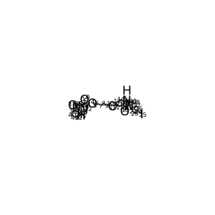 COc1c(OCCCCCCOc2ccc3c(c2)C(=O)N(c2ccc(I)cc2C)C(C)N3)cn2c1C=[N+]([O-])C1=CCCC[C@H]1C2